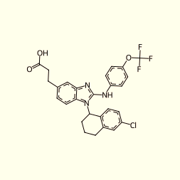 O=C(O)CCc1ccc2c(c1)nc(Nc1ccc(OC(F)(F)F)cc1)n2C1CCCc2cc(Cl)ccc21